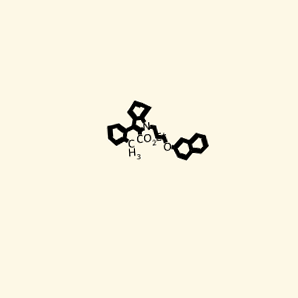 CCOC(=O)c1c(-c2ccccc2C)c2ccccc2n1CCCOc1ccc2ccccc2c1